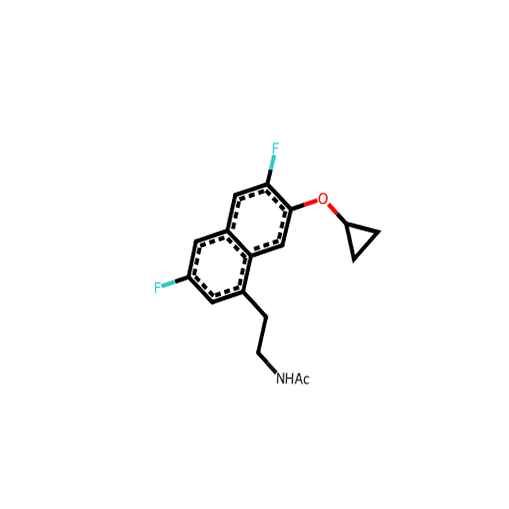 CC(=O)NCCc1cc(F)cc2cc(F)c(OC3CC3)cc12